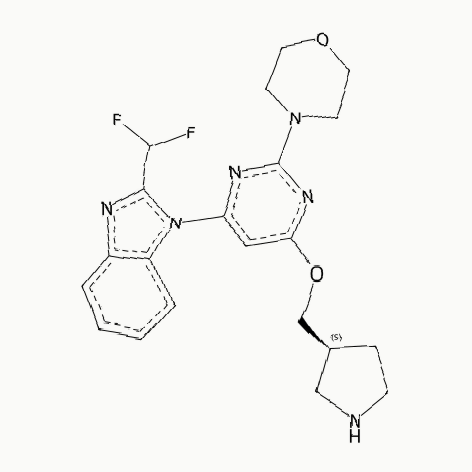 FC(F)c1nc2ccccc2n1-c1cc(OC[C@H]2CCNC2)nc(N2CCOCC2)n1